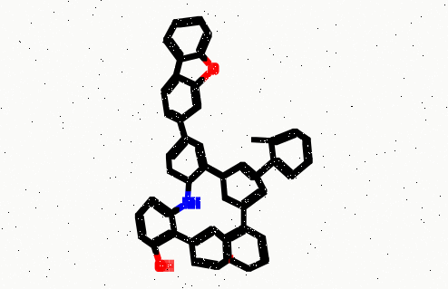 Cc1ccccc1C1=CC(C2=CC(c3ccc4c(c3)oc3ccccc34)=CCC2Nc2cccc(O)c2-c2ccccc2)CC(C2=CCCC=C2)=C1